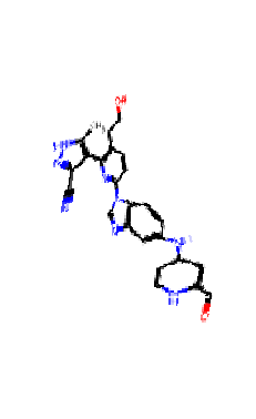 Cc1[nH]nc(C#N)c1-c1nc(-n2cnc3cc(NC4CCNC(C=O)C4)ccc32)ccc1CCO